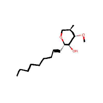 CCCCCCCC=C[C@@H]1OC[C@@H](C)[C@H](OC)[C@H]1O